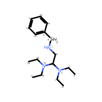 CCN(CC)C(CN[SiH2]c1ccccc1)N(CC)CC